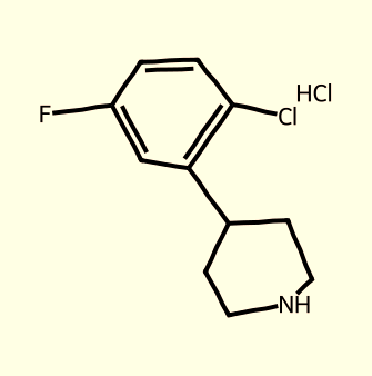 Cl.Fc1ccc(Cl)c(C2CCNCC2)c1